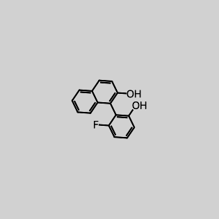 Oc1cccc(F)c1-c1c(O)ccc2ccccc12